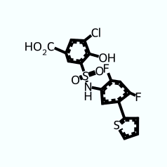 O=C(O)c1cc(Cl)c(O)c(S(=O)(=O)Nc2cc(-c3cccs3)c(F)cc2F)c1